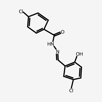 O=C(NN=Cc1cc(Cl)ccc1O)c1ccc(Cl)cc1